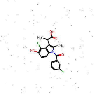 Cc1c(C(C)C(=O)O)c2c(F)c(O)ccc2n1C(=O)c1cccc(F)c1